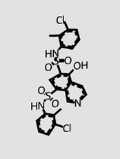 Cc1c(Cl)cccc1NS(=O)(=O)c1cc(S(=O)(=O)Nc2cccc(Cl)c2C)c2cnccc2c1O